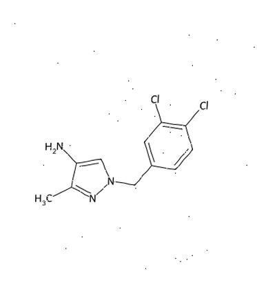 Cc1nn(Cc2ccc(Cl)c(Cl)c2)cc1N